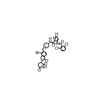 O=C1CCC(N2Cc3c(ccc(CN4CCC(NC(=O)c5n[nH]cc5NC(=O)c5c(Cl)cccc5Cl)CC4)c3Br)C2=O)C(=O)N1